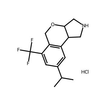 CC(C)c1cc2c(c(C(F)(F)F)c1)COC1CNCC21.Cl